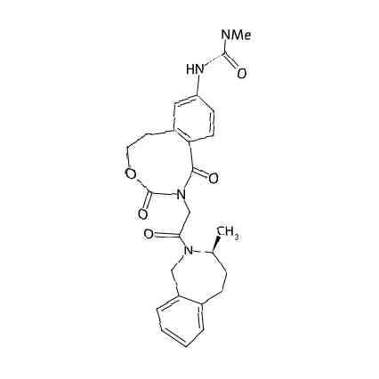 CNC(=O)Nc1ccc2c(c1)CCOC(=O)N(CC(=O)N1Cc3ccccc3CC[C@@H]1C)C2=O